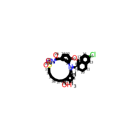 C[C@@]12CC[C@H]1CN1C[C@@]3(CCCc4cc(Cl)ccc43)COc3ccc(cc31)C(=O)NS(=O)(=O)CCCCC[C@@H]2O